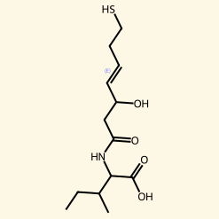 CCC(C)C(NC(=O)CC(O)/C=C/CCS)C(=O)O